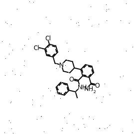 CC(NC(=O)c1c(C(N)=O)cccc1C1CCN(Cc2ccc(Cl)c(Cl)c2)CC1)c1ccccc1